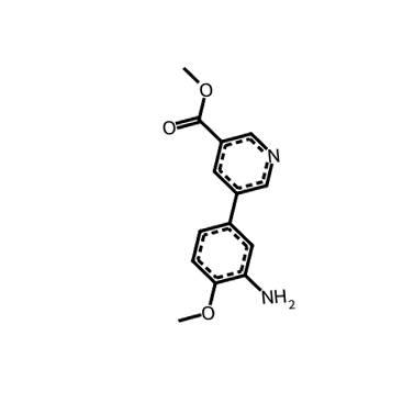 COC(=O)c1cncc(-c2ccc(OC)c(N)c2)c1